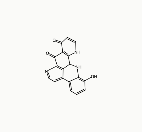 O=C1c2nccc3c2C(Nc2c(O)cccc2-3)c2[nH]ccc(=O)c21